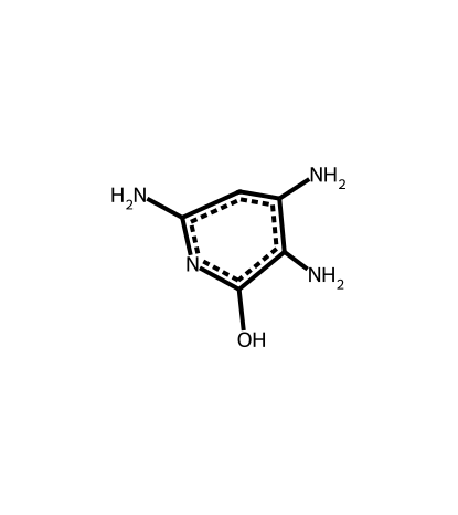 Nc1cc(N)c(N)c(O)n1